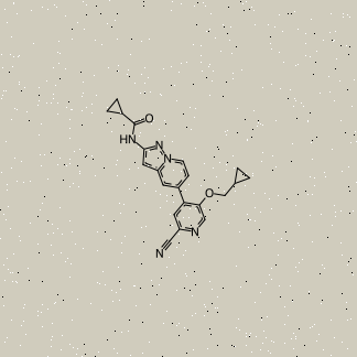 N#Cc1cc(-c2ccn3nc(NC(=O)C4CC4)cc3c2)c(OCC2CC2)cn1